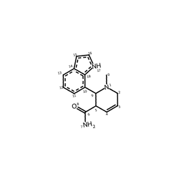 CN1CC=CC(C(N)=O)C1c1cccc2cc[nH]c12